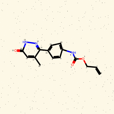 C=CCOC(=O)Nc1ccc(-c2n[nH]c(=O)cc2C)cc1